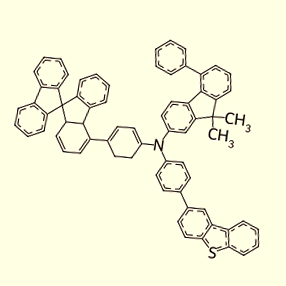 CC1(C)c2cc(N(C3=CC=C(C4=CC=CC5C4c4ccccc4C54c5ccccc5-c5ccccc54)CC3)c3ccc(-c4ccc5sc6ccccc6c5c4)cc3)ccc2-c2c(-c3ccccc3)cccc21